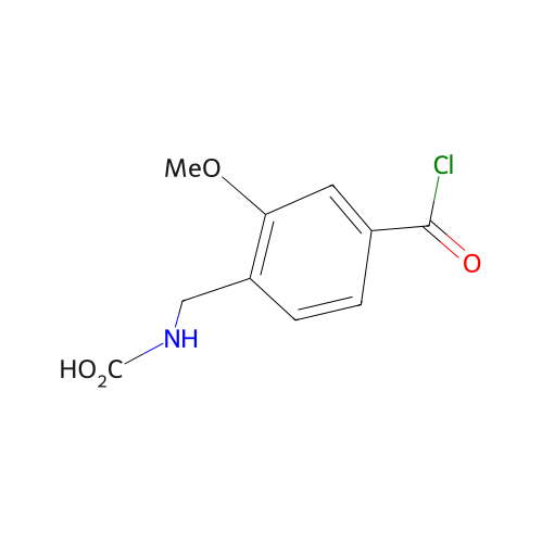 COc1cc(C(=O)Cl)ccc1CNC(=O)O